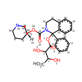 O=C(O)C(O)C(O)C(=O)OC1(c2ccccc2)c2ccccc2CCN1C(=O)O[C@H]1CN2CCC1CC2